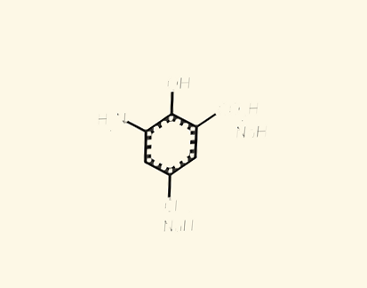 Cc1cc(N)c(O)c(C(=O)O)c1.[NaH].[NaH]